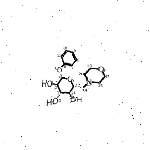 O[C@@H]1[C@@H](O)[C@H](Oc2ccccc2)O[C@H](CN2CCOCC2)[C@H]1O